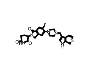 O=C1CCC(N2Cc3cc(N4CCN(Cc5c[nH]c6cnccc56)CC4)c(F)cc3C2=O)C(=O)N1